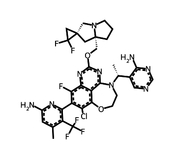 Cc1cc(N)nc(-c2c(Cl)c3c4c(nc(OC[C@@]56CCCN5C[C@]5(CC5(F)F)C6)nc4c2F)N([C@H](C)c2cncnc2N)CCO3)c1C(F)(F)F